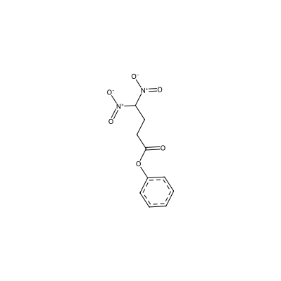 O=C(CCC([N+](=O)[O-])[N+](=O)[O-])Oc1ccccc1